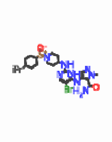 CC(C)C1CCC([S+]([O-])N2CCC(Nc3ncc(Br)c(Nc4cnn(C)c4C(N)=O)n3)CC2)CC1